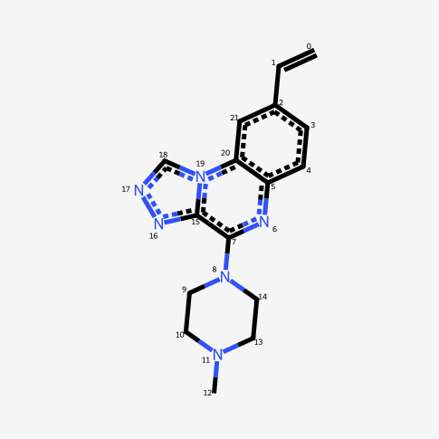 C=Cc1ccc2nc(N3CCN(C)CC3)c3nncn3c2c1